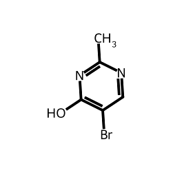 Cc1ncc(Br)c(O)n1